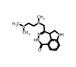 CN(C)CCN(C)CC1=NNC(=O)c2cccc3c2C1CN3